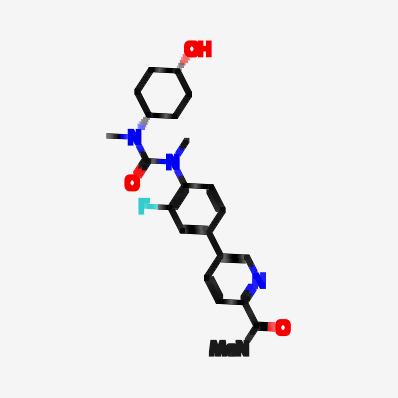 CNC(=O)c1ccc(-c2ccc(N(C)C(=O)N(C)[C@H]3CC[C@@H](O)CC3)c(F)c2)cn1